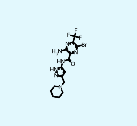 Nc1nc(C(F)(F)F)c(Br)nc1C(=O)Nc1cc(CN2CCCCC2)n[nH]1